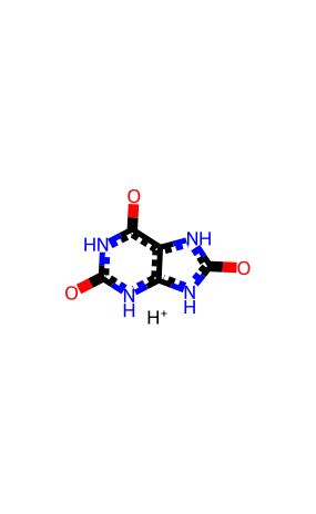 O=c1[nH]c(=O)c2[nH]c(=O)[nH]c2[nH]1.[H+]